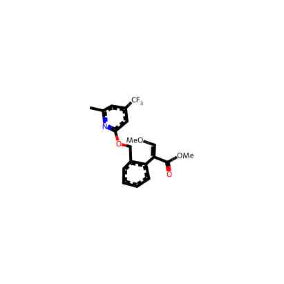 CO/C=C(/C(=O)OC)c1ccccc1COc1cc(C(F)(F)F)cc(C)n1